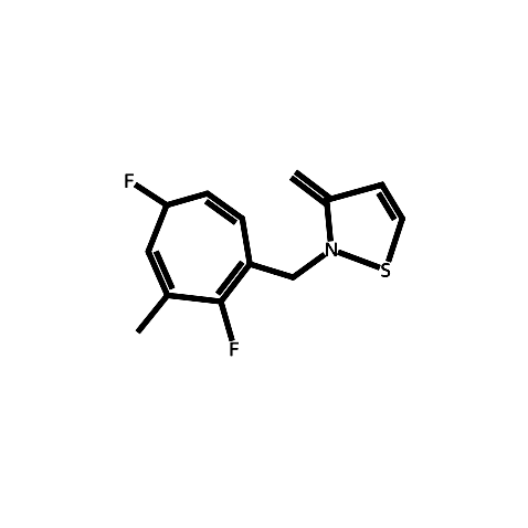 C=C1C=CSN1CC1=C(F)C(C)=CC(F)C=C1